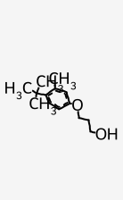 Cc1cc(OCCCO)ccc1C(C)(C)C